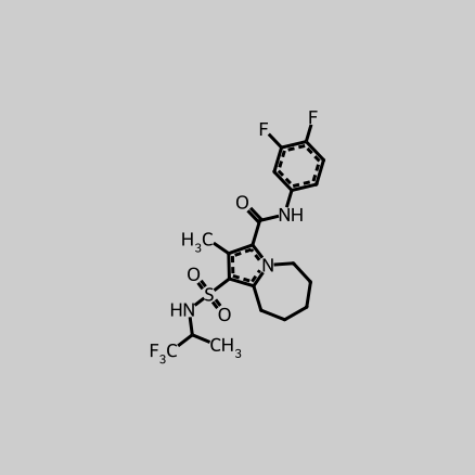 Cc1c(S(=O)(=O)NC(C)C(F)(F)F)c2n(c1C(=O)Nc1ccc(F)c(F)c1)CCCCC2